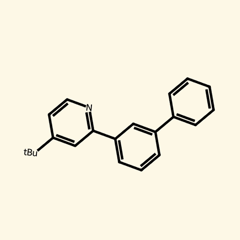 CC(C)(C)c1ccnc(-c2cccc(-c3ccccc3)c2)c1